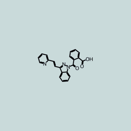 O=C(O)c1ccccc1C(=O)n1nc(/C=C/c2ccccn2)c2ccccc21